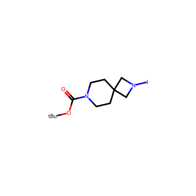 CC(C)(C)OC(=O)N1CCC2(CC1)CN(I)C2